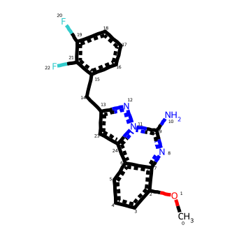 COc1cccc2c1nc(N)n1nc(Cc3cccc(F)c3F)cc21